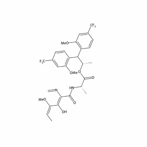 C=N/C(C(=O)N[C@@H](C)C(=O)O[C@@H](C)C(c1ccc(C(F)(F)F)cc1OC)c1ccc(C(F)(F)F)cc1OC)=C(O)\C(=C/C)OC